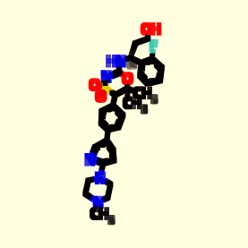 CN1CCN(c2ccc(-c3ccc(C4C(C)(C)OC(N[C@@H](CCO)c5ccccc5F)=NS4(=O)=O)cc3)cn2)CC1